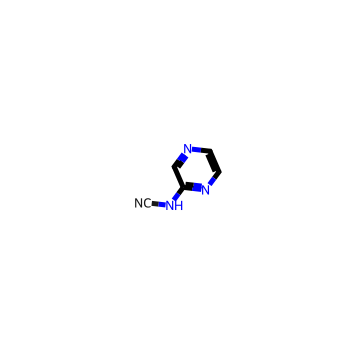 N#CNc1cnccn1